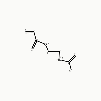 C=CC(=O)OCCNC(=C)C